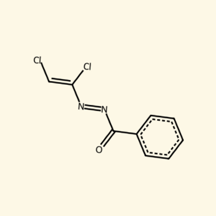 O=C(N=NC(Cl)=CCl)c1ccccc1